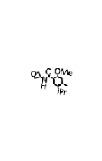 COc1cc(C)c(C(C)C)cc1C(=O)NC1COC1